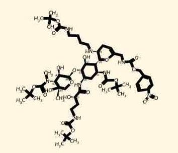 CN(C(=O)OC(C)(C)C)[C@@H]1[C@@H](O)[C@@H](O[C@H]2[C@H](NC(=O)[C@@H](O)CCNC(=O)OC(C)(C)C)C[C@H](NC(=O)OC(C)(C)C)C([C@H]3OC(CNC(=O)OCc4ccc([N+](=O)[O-])cc4)=CC[C@H]3NCCCCNC(=O)OC(C)(C)C)[C@@H]2O)OC[C@]1(C)O